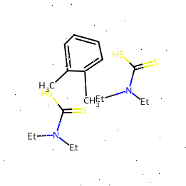 CCN(CC)C(=S)S.CCN(CC)C(=S)S.Cc1ccccc1C